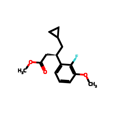 COC(=O)C[C@H](CC1CC1)c1cccc(OC)c1F